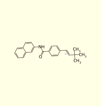 CC(C)(C)/C=C/c1ccc(C(=O)Nc2ccc3ccccc3c2)cc1